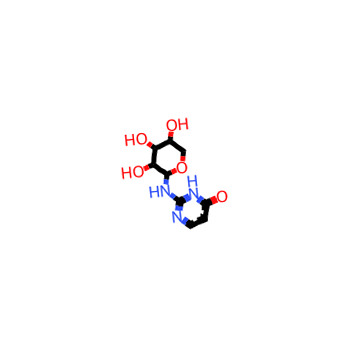 O=c1ccnc(NC2OCC(O)C(O)C2O)[nH]1